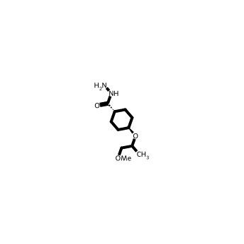 COCC(C)O[C@H]1CC[C@H](C(=O)NN)CC1